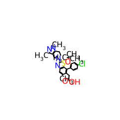 Cc1cc2nc(N3CCc4c(c(C)nn4C)C3)sc2c(-c2ccc(Cl)cc2OC(C)(C)C)c1CC(=O)O